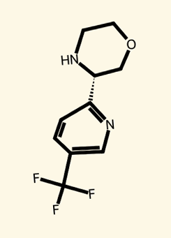 FC(F)(F)c1ccc([C@H]2COCCN2)nc1